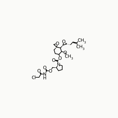 COC1C(OC(=O)N2CCC[C@H]2COC(=O)NC(=O)CCl)CC[C@]2(CO2)C1[C@H]1O[C@@H]1CC=C(C)C